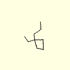 CCCC1(CC)CCC1